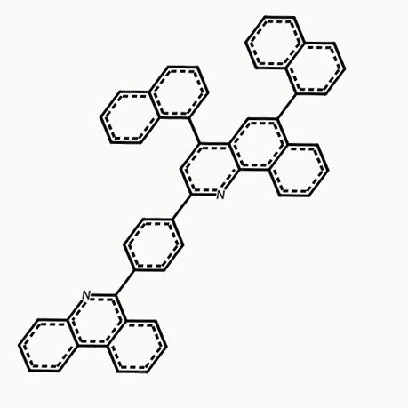 c1ccc2c(-c3cc4c(-c5cccc6ccccc56)cc(-c5ccc(-c6nc7ccccc7c7ccccc67)cc5)nc4c4ccccc34)cccc2c1